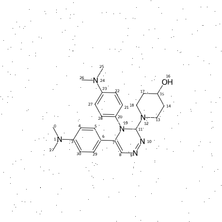 CN(C)c1ccc(C2=CN=NC(N3CCC(O)CC3)N2c2ccc(N(C)C)cc2)cc1